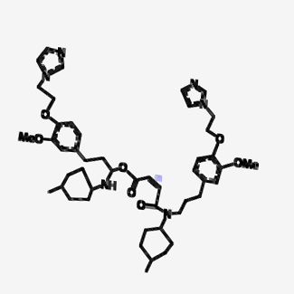 COc1cc(CCCN(C(=O)/C=C\C(=O)OC(CCc2ccc(OCCn3ccnc3)c(OC)c2)NC2CCC(C)CC2)C2CCC(C)CC2)ccc1OCCn1ccnc1